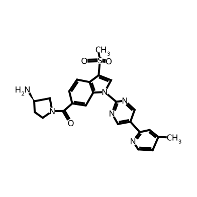 Cc1ccnc(-c2cnc(-n3cc(S(C)(=O)=O)c4ccc(C(=O)N5CC[C@@H](N)C5)cc43)nc2)c1